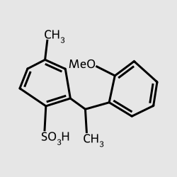 COc1ccccc1C(C)c1cc(C)ccc1S(=O)(=O)O